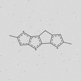 Cc1cc2c(s1)-c1sc3cc(C)sc3c1C2